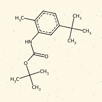 Cc1ccc(C(C)(C)C)cc1NC(=O)OC(C)(C)C